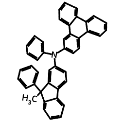 CC1(c2ccccc2)c2ccccc2-c2ccc(N(c3ccccc3)c3ccc4c5ccccc5c5ccccc5c4c3)cc21